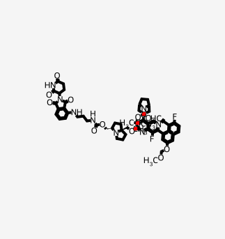 C#Cc1c(F)ccc2cc(OCOC)cc(-c3ncc4c(N5CC6CCC(C5)N6C(=O)OC(C)(C)C)nc(OC[C@@]56CCCN5[C@H](COC(=O)NCCCNc5cccc7c5C(=O)N(C5CCC(=O)NC5=O)C7=O)CC6)nc4c3F)c12